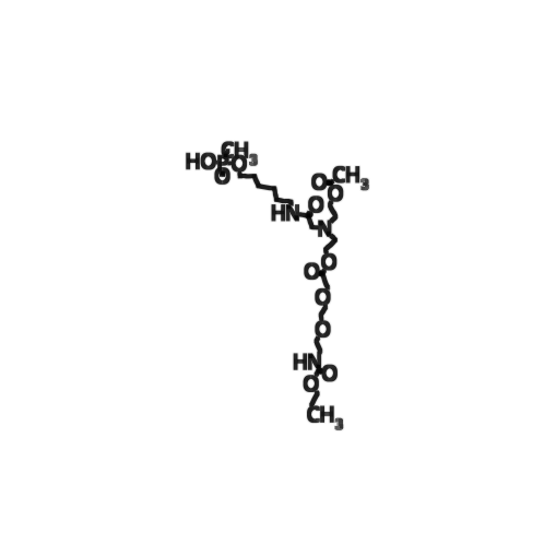 CCCOC(=O)NCCOCCOCC(=O)OCCN(CCOC(C)=O)CC(=O)NCCCCCCOP(C)(=O)O